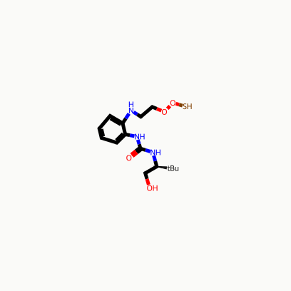 CC(C)(C)[C@@H](CO)NC(=O)Nc1ccccc1NCCOOS